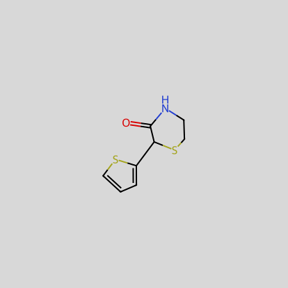 O=C1NCCSC1c1cccs1